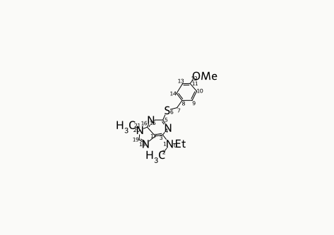 CCN(C)c1nc(SCc2ccc(OC)cc2)nc2c1ncn2C